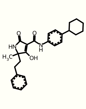 CC1(CCc2ccccc2)NC(=O)C(C(=O)Nc2ccc(C3CCCCC3)cc2)=C1O